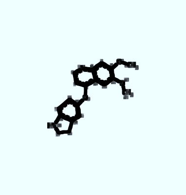 COc1cc2nccc(Oc3ccc4c(c3)CCN4)c2cc1OC